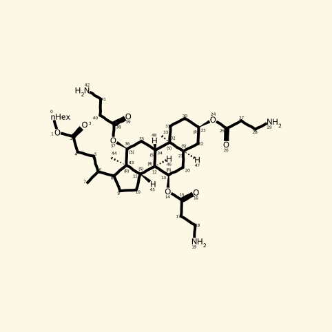 CCCCCCOC(=O)CCC(C)C1CC[C@H]2[C@@H]3[C@H](OC(=O)CCN)C[C@@H]4C[C@H](OC(=O)CCN)CC[C@]4(C)[C@H]3C[C@H](OC(=O)CCN)[C@]12C